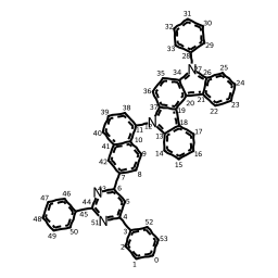 c1ccc(-c2cc(-c3ccc4c(-n5c6ccccc6c6c7c8ccccc8n(-c8ccccc8)c7ccc65)cccc4c3)nc(-c3ccccc3)n2)cc1